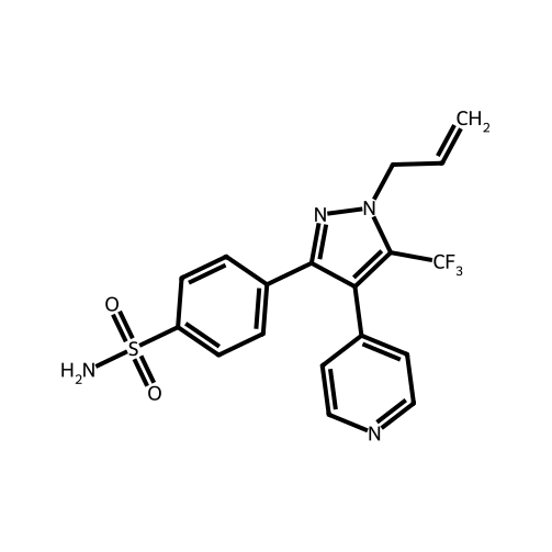 C=CCn1nc(-c2ccc(S(N)(=O)=O)cc2)c(-c2ccncc2)c1C(F)(F)F